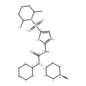 CC1CCCC(C)N1S(=O)(=O)c1cnc(NC(=O)N(C2CCCCC2)[C@H]2CC[C@H](C)CC2)s1